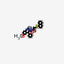 COc1ccc2c(c1)C(c1ccccc1)=C(C(=O)NC(=O)CCSc1cccc3ccccc13)N(C)C2